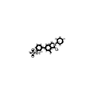 Cc1cc(-c2cccc(NS(C)(=O)=O)c2)cc2c1C(=O)N(C1CCCCC1)C2